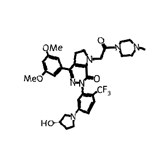 COc1cc(OC)cc(-c2nn(-c3cc(N4CC[C@H](O)C4)ccc3C(F)(F)F)c(=O)c3c2CCN3CC(=O)N2CCN(C)CC2)c1